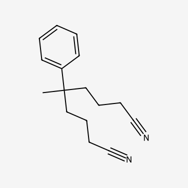 CC(CCCC#N)(CCCC#N)c1ccccc1